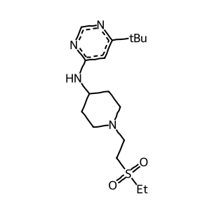 CCS(=O)(=O)CCN1CCC(Nc2cc(C(C)(C)C)ncn2)CC1